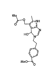 COC(=O)c1ccc(CCN2C=Nc3[nH]c(C)c(COC(=O)C(C)(C)C)c3C2O)cc1